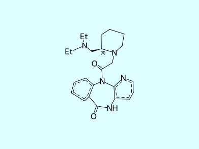 CCN(CC)C[C@H]1CCCCN1CC(=O)N1c2ccccc2C(=O)Nc2cccnc21